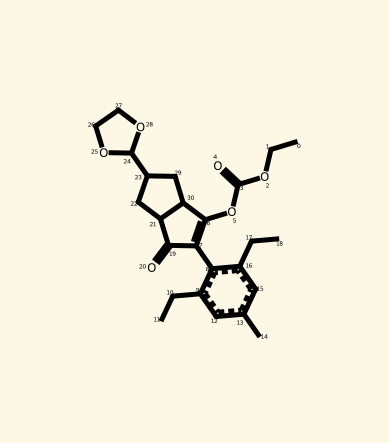 CCOC(=O)OC1=C(c2c(CC)cc(C)cc2CC)C(=O)C2CC(C3OCCO3)CC12